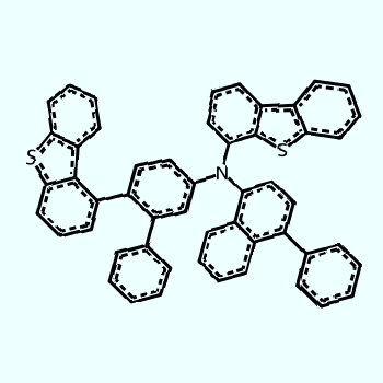 c1ccc(-c2cc(N(c3ccc(-c4ccccc4)c4ccccc34)c3cccc4c3sc3ccccc34)ccc2-c2cccc3sc4ccccc4c23)cc1